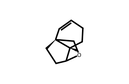 C[C@]12CCC=C[C@@]13CCC2OC3